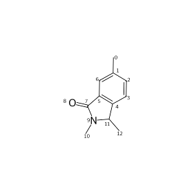 Cc1ccc2c(c1)C(=O)N(C)C2C